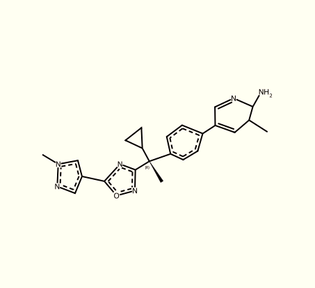 CC1C=C(c2ccc([C@](C)(c3noc(-c4cnn(C)c4)n3)C3CC3)cc2)C=NC1N